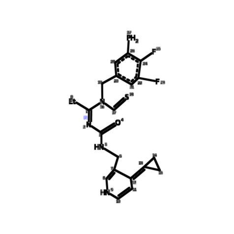 CC/C(=N/C(=O)NCC1=CNC=CC1=C1CC1)N(C=S)Cc1cc(F)c(F)c(P)c1